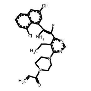 C=CC(=O)N1CCN(c2ncnc(/C(F)=C(\N)c3cc(O)cc4cccc(Cl)c34)c2CC)CC1